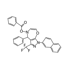 O=C(ON1C=COc2c(c(C(F)(F)F)nn2-c2ccc3ccccc3c2)C1c1ccccc1)c1ccccc1